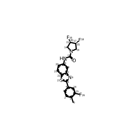 Cc1ccc(-c2nc3cc(NC(=O)N4C[C@@H](F)[C@@H](F)C4)ccc3s2)cc1F